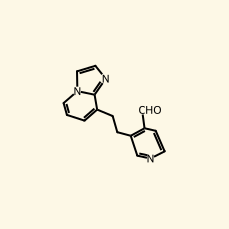 O=Cc1ccncc1CCc1cccn2ccnc12